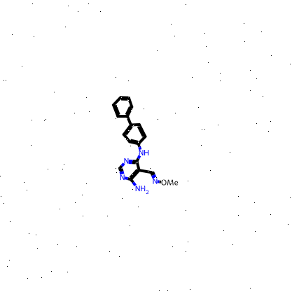 CO/N=C/c1c(N)ncnc1Nc1ccc(-c2ccccc2)cc1